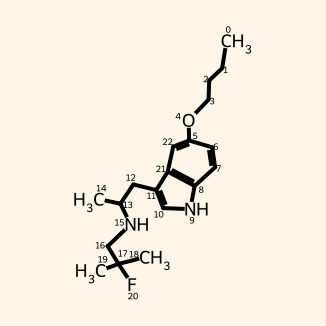 CCCCOc1ccc2[nH]cc(CC(C)NCC(C)(C)F)c2c1